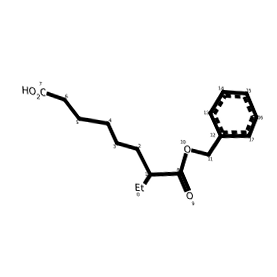 CCC(CCCCCC(=O)O)C(=O)OCc1ccccc1